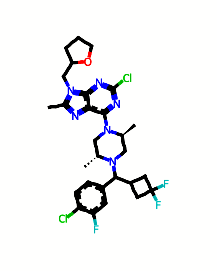 Cc1nc2c(N3C[C@@H](C)N(C(c4ccc(Cl)c(F)c4)C4CC(F)(F)C4)C[C@@H]3C)nc(Cl)nc2n1CC1CCCO1